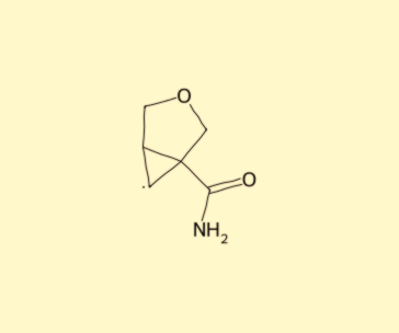 NC(=O)C12[CH]C1COC2